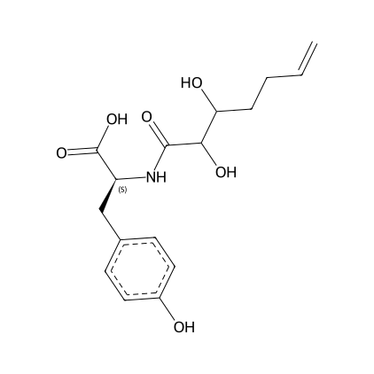 C=CCCC(O)C(O)C(=O)N[C@@H](Cc1ccc(O)cc1)C(=O)O